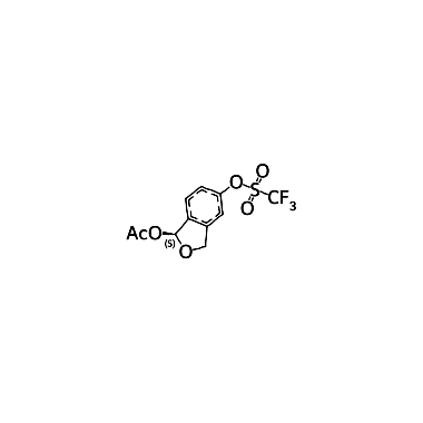 CC(=O)O[C@@H]1OCc2cc(OS(=O)(=O)C(F)(F)F)ccc21